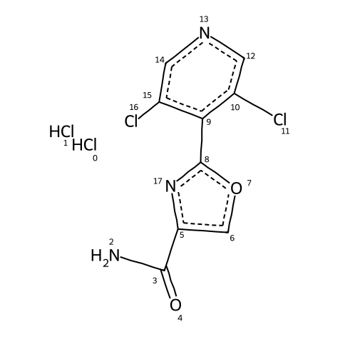 Cl.Cl.NC(=O)c1coc(-c2c(Cl)cncc2Cl)n1